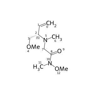 C=C[C@@H](COC)N(C)CC(=O)N(C)OC